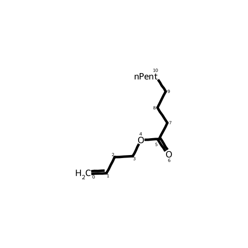 C=CCCOC(=O)CCCCCCCC